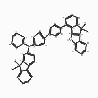 CC1(C)c2ccccc2-c2ccc(N(c3ccccc3)c3ccc(-c4ccc(-c5cccc6c5-c5oc7ccccc7c5C6(C)C)cc4)cc3)cc21